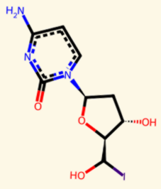 Nc1ccn([C@H]2C[C@H](O)[C@@H](C(O)I)O2)c(=O)n1